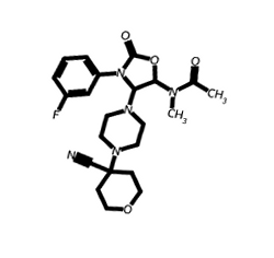 CC(=O)N(C)C1OC(=O)N(c2cccc(F)c2)C1N1CCN(C2(C#N)CCOCC2)CC1